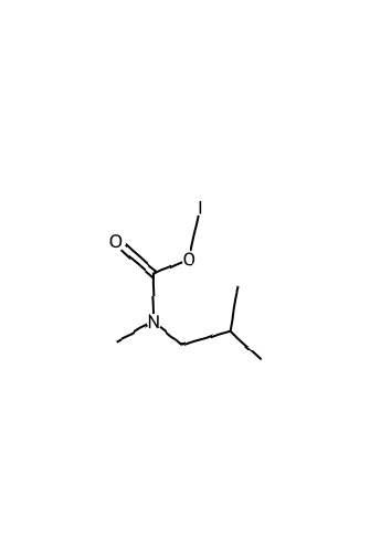 CC(C)CN(C)C(=O)OI